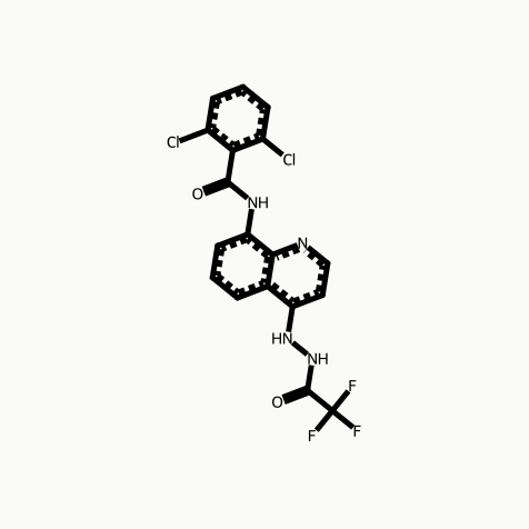 O=C(Nc1cccc2c(NNC(=O)C(F)(F)F)ccnc12)c1c(Cl)cccc1Cl